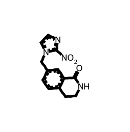 O=C1NCCc2ccc(Cn3ccnc3[N+](=O)[O-])cc21